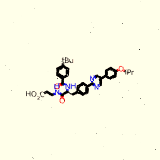 CC(C)Oc1ccc(-c2cnc(-c3ccc(C[C@H](NC(=O)c4ccc(C(C)(C)C)cc4)C(=O)NCCC(=O)O)cc3)nc2)cc1